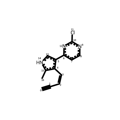 C#C/C=C\c1c(-c2ccnc(Cl)n2)c[nH]c1C